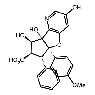 COc1ccc([C@@]23Oc4cc(O)cnc4[C@]2(O)[C@H](O)[C@H](C(=O)O)[C@H]3c2ccccc2)cc1